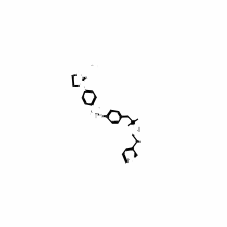 CCCCCCN1CCN(c2ccc(S(=O)(=O)Nc3ccc(CC(C)(C)NCC(O)c4cccnc4)cc3)cc2)C1=O